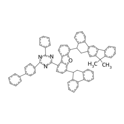 CC1(C)c2ccccc2-c2cc3c(cc21)CC(c1cccc2c1oc1c(C4Cc5ccccc5-c5ccccc54)ccc(-c4nc(-c5ccccc5)nc(-c5ccc(-c6ccccc6)cc5)n4)c12)c1ccccc1-3